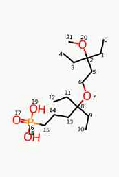 CCC(CC)(CCOC(CC)(CC)CCCP(=O)(O)O)OC